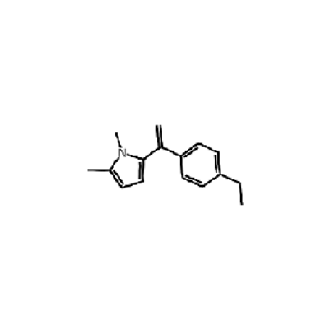 C=C(c1ccc(CC)cc1)c1ccc(C)n1C